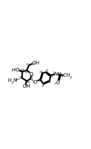 CC(=O)Nc1ccc(O[C@H]2OC(CO)C(O)[C@@H](N)C2O)cc1